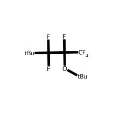 CC(C)(C)OC(F)(C(F)(F)F)C(F)(F)C(C)(C)C